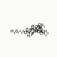 CCCCCOC(=O)Nc1nc(=O)n([C@@H]2O[C@H](C)[C@H]3OC(C)(C)O[C@H]32)cc1F